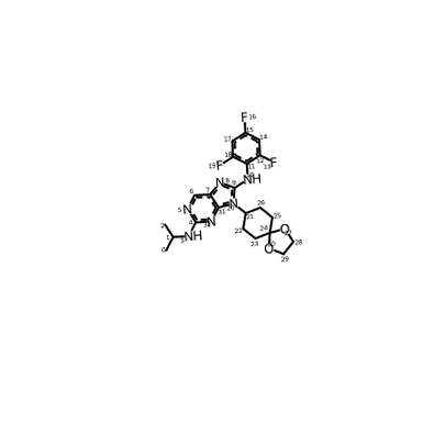 CC(C)Nc1ncc2nc(Nc3c(F)cc(F)cc3F)n(C3CCC4(CC3)OCCO4)c2n1